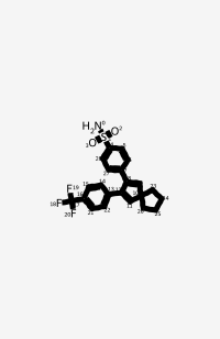 NS(=O)(=O)c1ccc(C2=CC3(C=C2c2ccc(C(F)(F)F)cc2)CCCC3)cc1